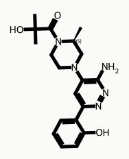 C[C@H]1CN(c2cc(-c3ccccc3O)nnc2N)CCN1C(=O)C(C)(C)O